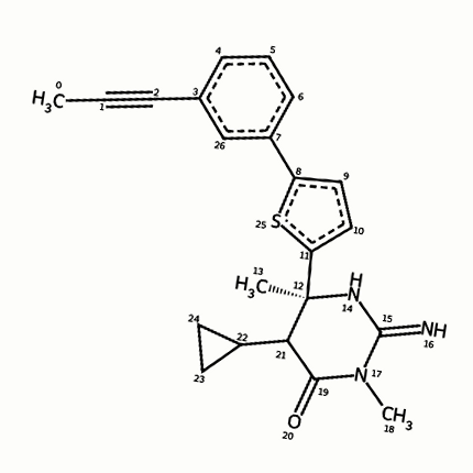 CC#Cc1cccc(-c2ccc([C@@]3(C)NC(=N)N(C)C(=O)C3C3CC3)s2)c1